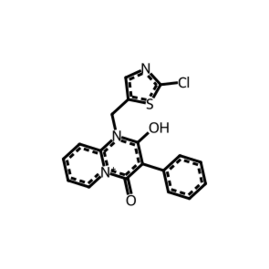 O=c1c(-c2ccccc2)c(O)n(Cc2cnc(Cl)s2)c2cccc[n+]12